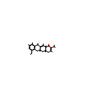 CCc1cc(C)c(C)c2c1CC1(C)CC3(C)CC(C)=C(C(C)=O)C(=O)C3(C)C(C)=C1C2=O